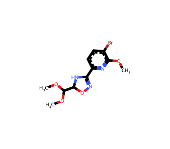 COc1nc(C2=NOC(C(OC)OC)N2)ccc1Br